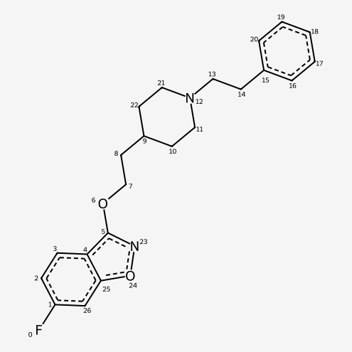 Fc1ccc2c(OCCC3CCN(CCc4ccccc4)CC3)noc2c1